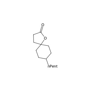 CCCCCC1CCC2(CCC(=O)O2)CC1